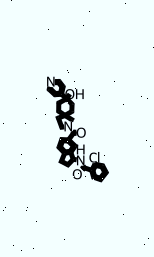 O=C(NC1CCc2ccc(C(=O)N3CCC4(CCC(O)(c5ccncc5)CC4)C3)cc21)c1ccccc1Cl